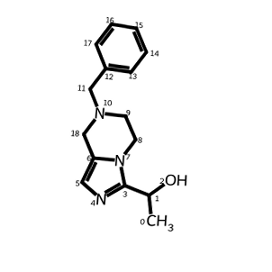 CC(O)c1ncc2n1CCN(Cc1ccccc1)C2